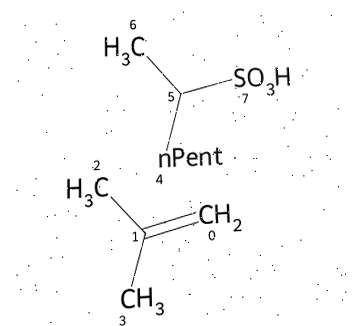 C=C(C)C.CCCCCC(C)S(=O)(=O)O